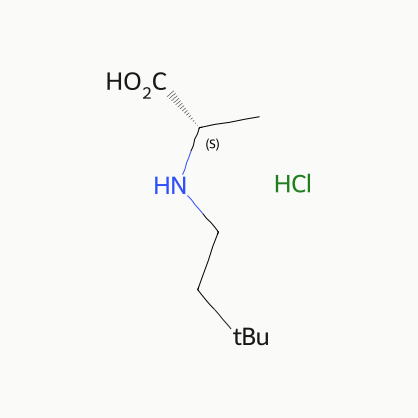 C[C@H](NCCC(C)(C)C)C(=O)O.Cl